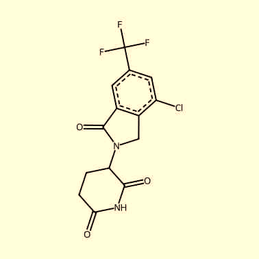 O=C1CCC(N2Cc3c(Cl)cc(C(F)(F)F)cc3C2=O)C(=O)N1